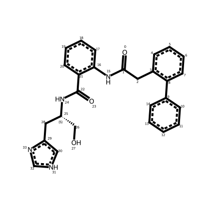 O=C(Cc1ccccc1-c1ccccc1)Nc1ccccc1C(=O)N[C@H](CO)Cc1c[nH]cn1